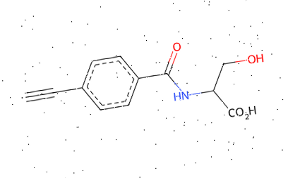 [C]#Cc1ccc(C(=O)NC(CO)C(=O)O)cc1